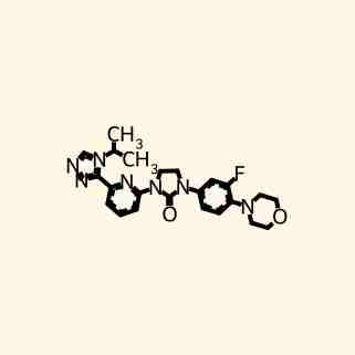 CC(C)n1cnnc1-c1cccc(N2CCN(c3ccc(N4CCOCC4)c(F)c3)C2=O)n1